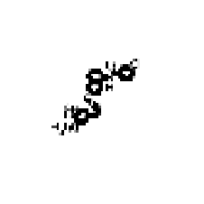 COC1=CC2=CC=CN(Oc3ccc4c(NC(=O)c5cccc(Cl)c5)cccc4c3)C2C=C1OC